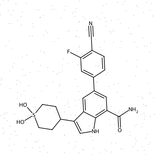 N#Cc1ccc(-c2cc(C(N)=O)c3[nH]cc(C4CCS(O)(O)CC4)c3c2)cc1F